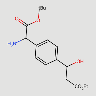 CCOC(=O)CC(O)c1ccc(C(N)C(=O)OC(C)(C)C)cc1